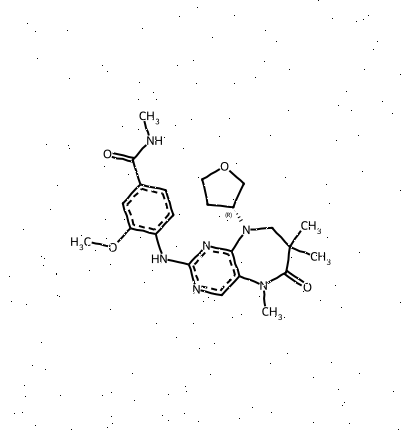 CNC(=O)c1ccc(Nc2ncc3c(n2)N([C@@H]2CCOC2)CC(C)(C)C(=O)N3C)c(OC)c1